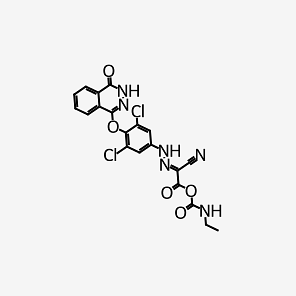 CCNC(=O)OC(=O)/C(C#N)=N/Nc1cc(Cl)c(Oc2n[nH]c(=O)c3ccccc23)c(Cl)c1